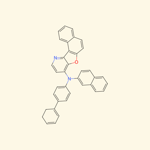 C1=CCCC(c2ccc(N(c3ccc4ccccc4c3)c3ccnc4c3oc3ccc5ccccc5c34)cc2)=C1